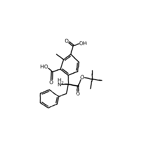 Cc1c(C(=O)O)ccc(C(N)(Cc2ccccc2)C(=O)OC(C)(C)C)c1C(=O)O